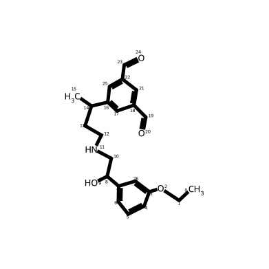 CCOc1cccc(C(O)CNCCC(C)c2cc(C=O)cc(C=O)c2)c1